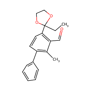 CCC1(c2ccc(-c3ccccc3)c(C)c2C=O)OCCO1